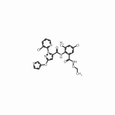 CCONC(=O)c1cc(Cl)cc(C)c1NC(=O)c1cc(Oc2ccsc2)nn1-c1ncccc1Cl